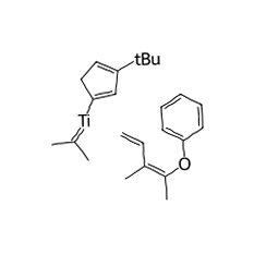 C=CC(C)=C(C)Oc1ccccc1.C[C](C)=[Ti][C]1=CC(C(C)(C)C)=CC1